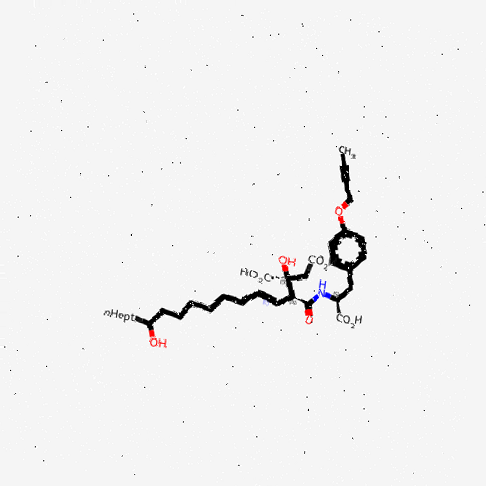 CC#CCOc1ccc(C[C@H](NC(=O)[C@@H](/C=C/CCCCCCC(O)CCCCCCC)[C@@](O)(CC(=O)O)C(=O)O)C(=O)O)cc1